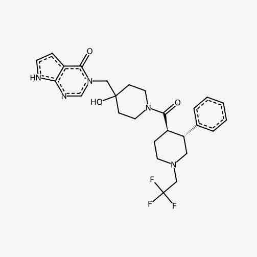 O=C([C@@H]1CCN(CC(F)(F)F)C[C@H]1c1ccccc1)N1CCC(O)(Cn2cnc3[nH]ccc3c2=O)CC1